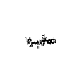 C=N/C(=C\C=C(/C)Nc1ncc2c(-c3ccc4cnccc4c3)c[nH]c2n1)N1CCN(C)CC1